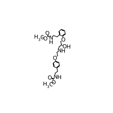 COC(=O)NCCc1ccc(OCCNCC(O)COc2ccccc2CCNC(=O)OC)cc1